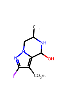 CCOC(=O)c1c(I)nn2c1C(O)NC(C)C2